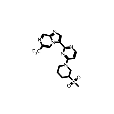 CS(=O)(=O)C1CCCN(c2ccnc(-c3cnc4cnc(C(F)(F)F)cn34)n2)C1